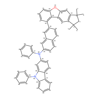 CC1(C)CC(C)(C)c2cc3c(cc21)oc1cccc(-c2ccc4ccc(N(c5ccccc5)c5ccc6c7ccccc7n(-c7ccccc7)c6c5)cc4c2)c13